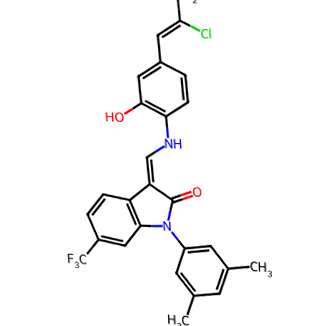 Cc1cc(C)cc(N2C(=O)/C(=C\Nc3ccc(/C=C(\Cl)C(=O)O)cc3O)c3ccc(C(F)(F)F)cc32)c1